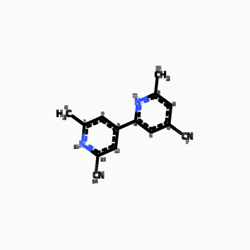 Cc1cc(-c2cc(C#N)cc(C)n2)cc(C#N)n1